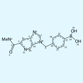 CNC(=O)c1cc2ncn(Cc3ccc(B(O)O)cc3)c2cn1